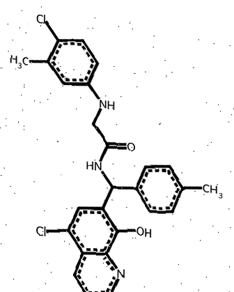 Cc1ccc(C(NC(=O)CNc2ccc(Cl)c(C)c2)c2cc(Cl)c3cccnc3c2O)cc1